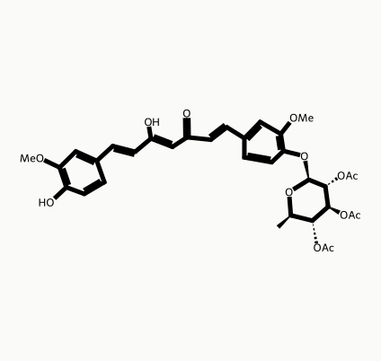 COc1cc(/C=C/C(O)=C/C(=O)/C=C/c2ccc(O[C@@H]3O[C@H](C)[C@@H](OC(C)=O)[C@H](OC(C)=O)[C@H]3OC(C)=O)c(OC)c2)ccc1O